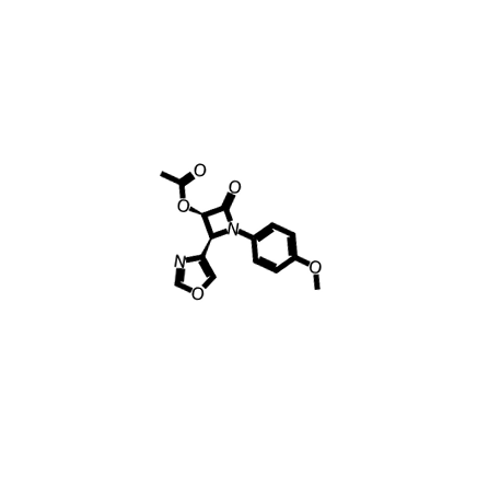 COc1ccc(N2C(=O)[C@H](OC(C)=O)[C@@H]2c2cocn2)cc1